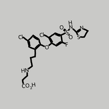 O=C(O)CCNCCCc1cc(Cl)ccc1Oc1cc(F)c(S(=O)(=O)NC2=NCCS2)cc1Cl